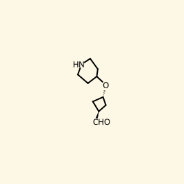 O=C[C@H]1C[C@H](OC2CCNCC2)C1